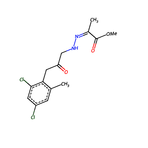 COC(=O)C(C)=NNCC(=O)Cc1c(C)cc(Cl)cc1Cl